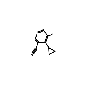 N#Cc1cncc(F)c1C1CC1